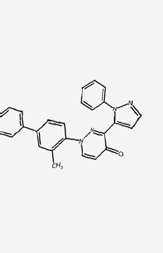 Cc1cc(-c2cccnc2)ccc1-n1ccc(=O)c(-c2ccnn2-c2ccccc2)n1